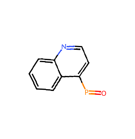 O=Pc1ccnc2ccccc12